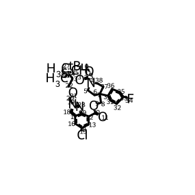 CC(C)(C)OC(=O)N1CCC(COC(=O)c2cc(Cl)cc3cn(COCC[Si](C)(C)C)nc23)(c2ccc(F)cc2)CC1